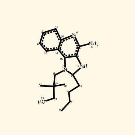 CCCCC1Nc2c(N)nc3ccccc3c2N1CC(C)(C)CO